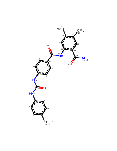 CCOC(=O)c1ccc(NC(=O)Nc2ccc(C(=O)Nc3cc(OC)c(OC)cc3C(N)=O)cc2)cc1